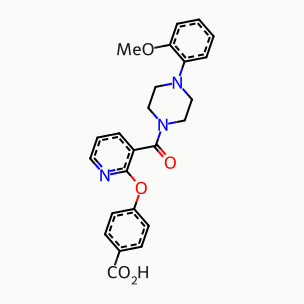 COc1ccccc1N1CCN(C(=O)c2cccnc2Oc2ccc(C(=O)O)cc2)CC1